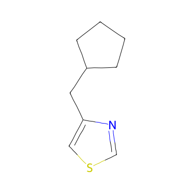 c1nc(CC2CCCC2)cs1